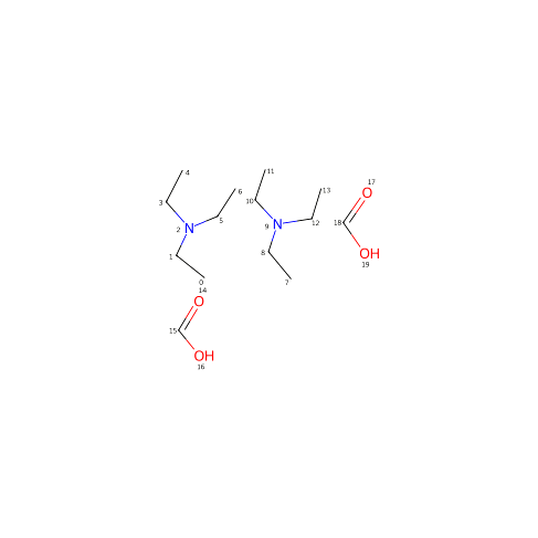 CCN(CC)CC.CCN(CC)CC.O=CO.O=CO